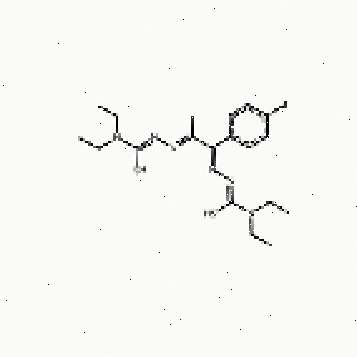 CCN(CC)/C(S)=N/N=C(C)/C(=N/N=C(\S)N(CC)CC)c1ccc(I)cc1